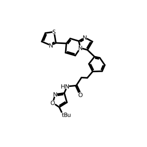 CC(C)(C)c1cc(NC(=O)CCc2cccc(-c3cnc4cc(-c5nccs5)ccn34)c2)no1